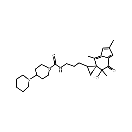 CC1=CC2=C(C)[C@]3(CC3CCCNC(=O)N3CCC(N4CCCCC4)CC3)C(C)(O)C(=O)C2=C1